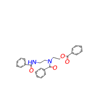 O=C(NCCN(CCOC(=O)c1ccccc1)C(=O)c1ccccc1)c1ccccc1